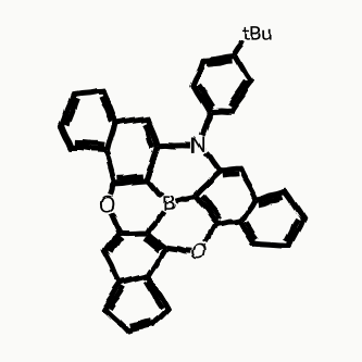 CC(C)(C)c1ccc(N2c3cc4ccccc4c4c3B3c5c(cc6ccccc6c5Oc5c3c2cc2ccccc52)O4)cc1